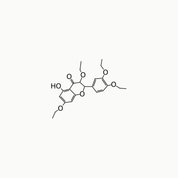 CCOc1cc(O)c2c(c1)OC(c1ccc(OCC)c(OCC)c1)C(OCC)C2=O